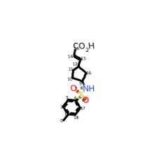 Cc1ccc(S(=O)(=O)NC2CCC(/C=C/C(=O)O)C2)cc1